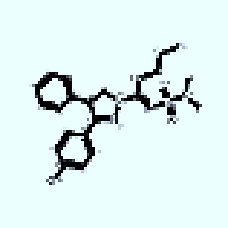 CN(C)S(=O)(=O)/N=C(\NCCF)N1CC(c2ccccc2)C(c2ccc(Cl)cc2)=N1